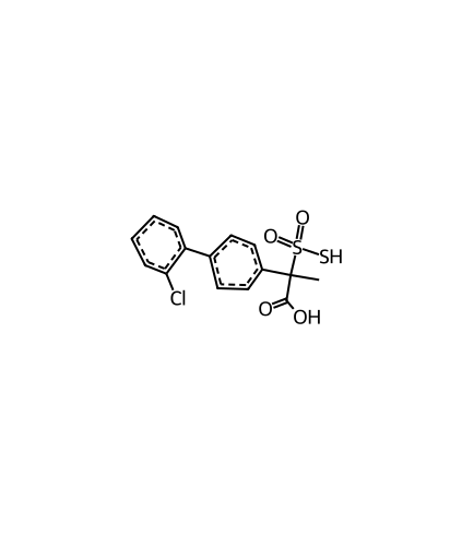 CC(C(=O)O)(c1ccc(-c2ccccc2Cl)cc1)S(=O)(=O)S